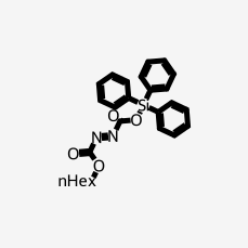 CCCCCCOC(=O)N=NC(=O)O[Si](c1ccccc1)(c1ccccc1)c1ccccc1